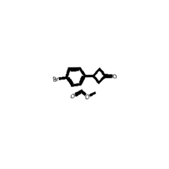 COC=O.O=C1CC(c2ccc(Br)cc2)C1